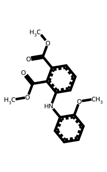 COC(=O)c1cccc(Nc2ccccc2OC)c1C(=O)OC